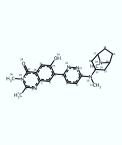 Cc1nc2cc(-c3ccc(N(C)C4CC5CCC(C4)N5C)nn3)c(O)cc2c(=O)n1C